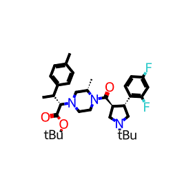 Cc1ccc(C(C)[C@@H](C(=O)OC(C)(C)C)N2CCN(C(=O)[C@@H]3CN(C(C)(C)C)C[C@H]3c3ccc(F)cc3F)[C@@H](C)C2)cc1